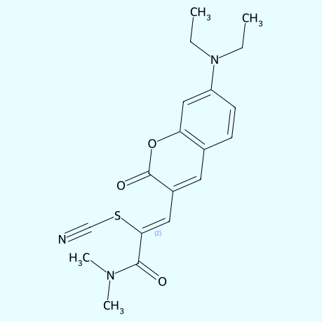 CCN(CC)c1ccc2cc(/C=C(\SC#N)C(=O)N(C)C)c(=O)oc2c1